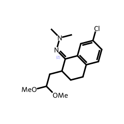 COC(CC1CCc2ccc(Cl)cc2/C1=N\N(C)C)OC